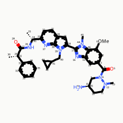 COc1cc(C(=O)N2C[C@H](N)CCN2C)cc2nc(-c3cc4ccc([C@@H](C)NC(=O)[C@@H](C)c5ccccc5)nc4n3CC3CC3)n(C)c12